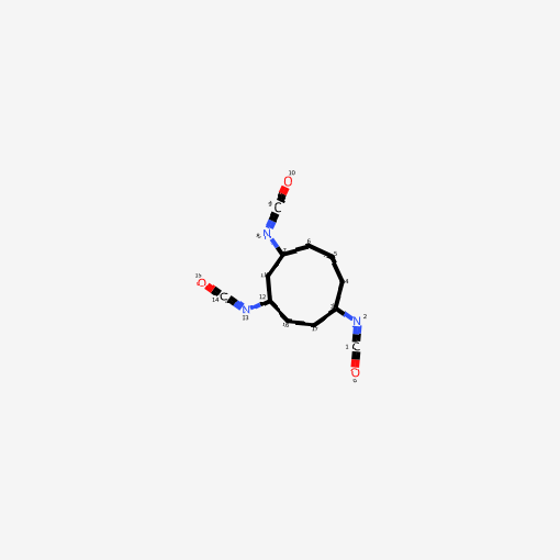 O=C=NC1CCCC(N=C=O)CC(N=C=O)CC1